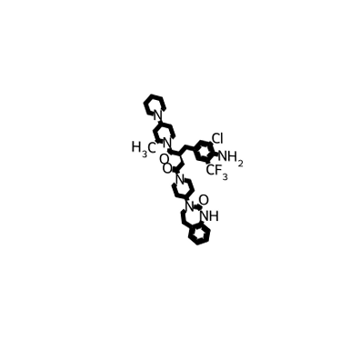 CC1CC(N2CCCCC2)CCN1C(=O)[C@H](CC(=O)N1CCC(N2CCc3ccccc3NC2=O)CC1)Cc1cc(Cl)c(N)c(C(F)(F)F)c1